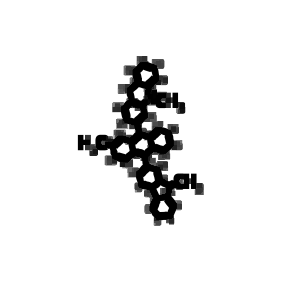 C=C1c2ccccc2-c2ccc(-c3c4ccccc4c(-c4ccc5c(c4)N(C)c4ccccc4C5)c4cc(C)ccc34)cc21